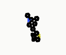 c1ccc(-c2cc(-c3ccccc3)nc(-c3cccc(-c4ccc(-c5ccc6c(c5)C5(c7ccccc7S6)c6ccccc6-c6ccccc65)cc4-c4ccccc4)c3)c2)cc1